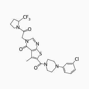 Cc1c(C(=O)N2CCN(c3cccc(Cl)c3)CC2)sc2ncn(CC(=O)N3CCCC3C(F)(F)F)c(=O)c12